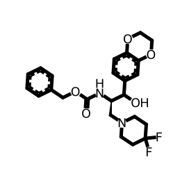 O=C(N[C@H](CN1CCC(F)(F)CC1)C(O)c1ccc2c(c1)OCCO2)OCc1ccccc1